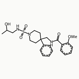 COc1ccccc1C(=O)NCC1(c2ccccc2)CCN(S(=O)(=O)NCC(C)O)CC1